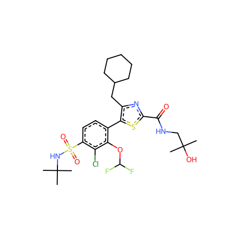 CC(C)(O)CNC(=O)c1nc(CC2CCCCC2)c(-c2ccc(S(=O)(=O)NC(C)(C)C)c(Cl)c2OC(F)F)s1